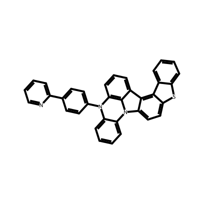 c1ccc(-c2ccc(N3c4ccccc4-n4c5ccc6sc7ccccc7c6c5c5cccc3c54)cc2)nc1